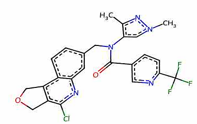 Cc1nn(C)cc1N(Cc1ccc2c3c(c(Cl)nc2c1)COC3)C(=O)c1ccc(C(F)(F)F)nc1